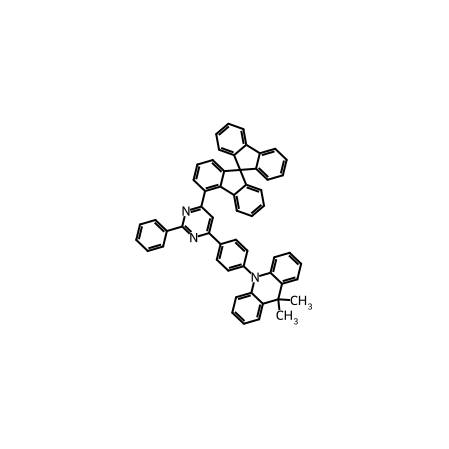 CC1(C)c2ccccc2N(c2ccc(-c3cc(-c4cccc5c4-c4ccccc4C54c5ccccc5-c5ccccc54)nc(-c4ccccc4)n3)cc2)c2ccccc21